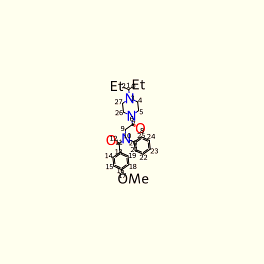 CCC(CC)N1CCN(C(=O)CN(C(=O)c2ccc(OC)cc2)c2ccccc2)CC1